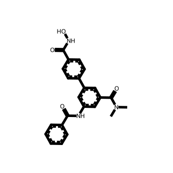 CN(C)C(=O)c1cc(NC(=O)c2ccccc2)cc(-c2ccc(C(=O)NO)cc2)c1